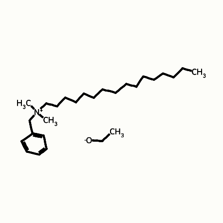 CCCCCCCCCCCCCCCC[N+](C)(C)Cc1ccccc1.CC[O]